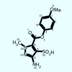 COc1ccc(OC(=O)c2c(S(=O)(=O)O)c(N)nn2C)cc1